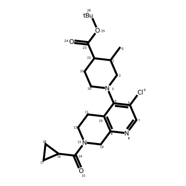 CC1CN(c2c(Cl)cnc3c2CCN(C(=O)C2CC2)C3)CCC1C(=O)OC(C)(C)C